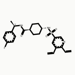 C=Cc1cc(S(=O)(=O)N[C@H]2CC[C@H](C(=O)N[C@H](C)c3ccc(F)cc3)CC2)cnc1C=C